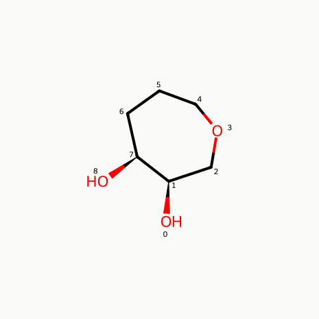 O[C@@H]1COCCC[C@@H]1O